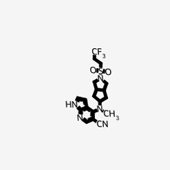 CN(c1c(C#N)cnc2[nH]ccc12)C1CC2CN(S(=O)(=O)CCC(F)(F)F)CC2C1